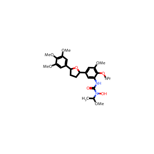 CCCOc1c(NC(=O)N(O)C(C)OC)cc(C2CCC(c3cc(OC)c(OC)c(OC)c3)O2)cc1OC